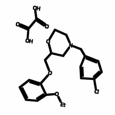 CCOc1ccccc1OCC1CN(Cc2ccc(Cl)cc2)CCO1.O=C(O)C(=O)O